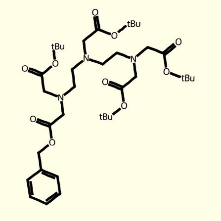 CC(C)(C)OC(=O)CN(CCN(CC(=O)OCc1ccccc1)CC(=O)OC(C)(C)C)CCN(CC(=O)OC(C)(C)C)CC(=O)OC(C)(C)C